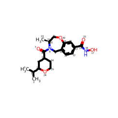 CC(C)C1CC(C(=O)N2Cc3ccc(C(=O)NO)cc3OC[C@@H]2C)CCO1